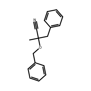 CC(C#N)(Cc1ccccc1)OCc1ccccc1